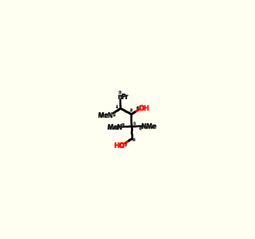 CCCC(NC)C(O)C(CO)(NC)NC